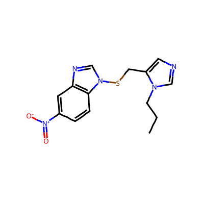 CCCn1cncc1CSn1cnc2cc([N+](=O)[O-])ccc21